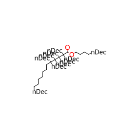 CCCCCCCCCCCCCCCCCC(CCCCCCCCCC)(CCCCCCCCCC)C(CCCCCCCCCC)(CCCCCCCCCC)C(CCCCCCCCCC)(CCCCCCCCCC)C(CCCCCCCCCC)(CCCCCCCCCC)C(=O)OCCCCCCCCCCCCCC